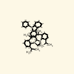 CC(C)c1cccc(C(C)C)c1N1C=CN(c2c(C(C)C)cccc2C(C)C)C1c1ccc2c(c1)c1ccccc1n2-c1ccccc1